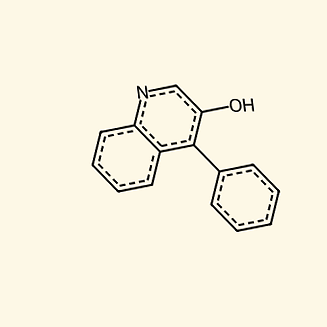 Oc1cnc2ccccc2c1-c1ccccc1